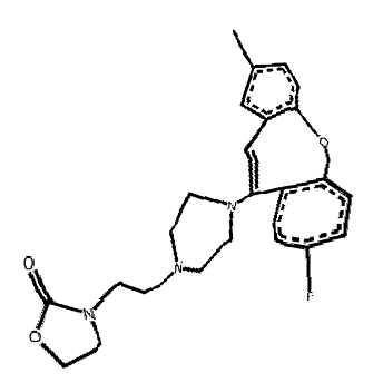 Cc1ccc2c(c1)C=C(N1CCN(CCN3CCOC3=O)CC1)c1cc(F)ccc1O2